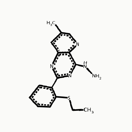 CCSc1ccccc1-c1nc(NN)c2ncc(C)cc2n1